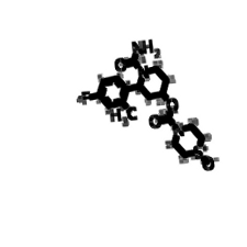 Cc1cc(F)ccc1C1CC(OC(=O)N2CC[S+]([O-])CC2)CCN1C(N)=O